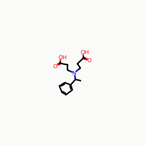 CC(c1ccccc1)N(CCC(=O)O)CCC(=O)O